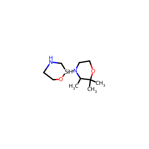 CC1N([SiH]2CNCCO2)CCOC1(C)C